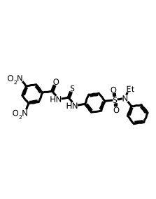 CCN(c1ccccc1)S(=O)(=O)c1ccc(NC(=S)NC(=O)c2cc([N+](=O)[O-])cc([N+](=O)[O-])c2)cc1